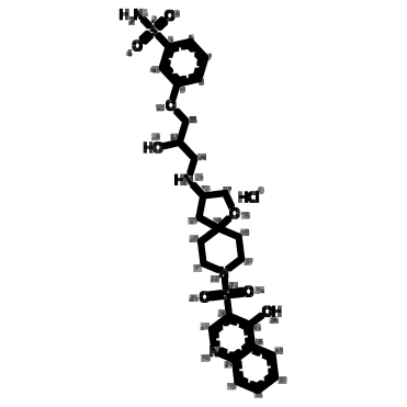 Cl.NS(=O)(=O)c1cccc(OCC(O)CNC2COC3(CCN(S(=O)(=O)c4cnc5ccccc5c4O)CC3)C2)c1